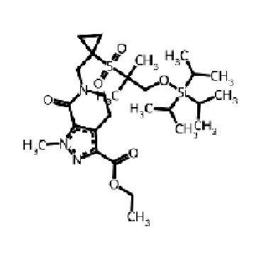 CCOC(=O)c1nn(C)c2c1CCN(CC1(S(=O)(=O)C(C)(C)CO[Si](C(C)C)(C(C)C)C(C)C)CC1)C2=O